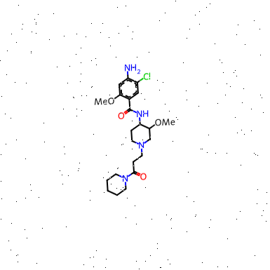 COc1cc(N)c(Cl)cc1C(=O)NC1CCN(CCC(=O)N2CCCCC2)CC1OC